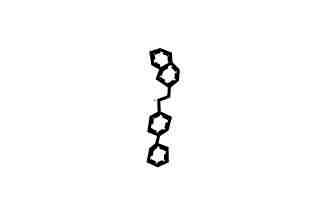 [CH](Cc1ccc2ccccc2c1)c1ccc(-c2ccccc2)cc1